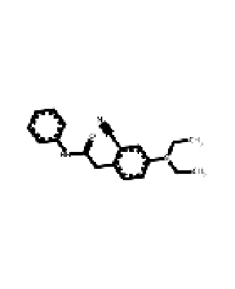 CCN(CC)c1ccc(CC(=O)Nc2ccccc2)c(C#N)c1